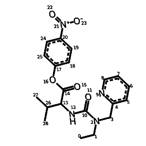 CCN(Cc1ccccn1)C(=O)NC(C(=O)Oc1ccc([N+](=O)[O-])cc1)C(C)C